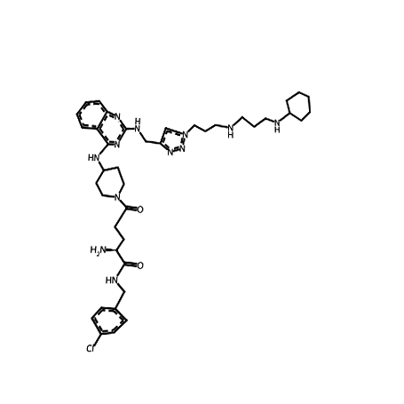 N[C@@H](CCC(=O)N1CCC(Nc2nc(NCc3cn(CCCNCCCNC4CCCCC4)nn3)nc3ccccc23)CC1)C(=O)NCc1ccc(Cl)cc1